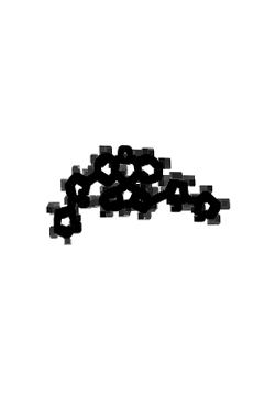 c1csc(-c2ccc(-c3ccc4c(c3)C3(c5ccccc5O4)c4ccccc4-c4ccc(-c5ccc(-c6cccs6)s5)cc43)s2)c1